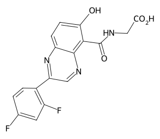 O=C(O)CNC(=O)c1c(O)ccc2nc(-c3ccc(F)cc3F)cnc12